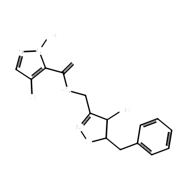 CC1C(CNC(=O)c2c(Cl)cnn2C)=NOC1Cc1ccccc1